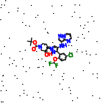 CC(C)(C)OC(=O)N1CC[C@@H](n2cc(Nc3cnn4cccnc34)c(-c3cc(Cl)ccc3OC(F)F)n2)[C@H](O)C1